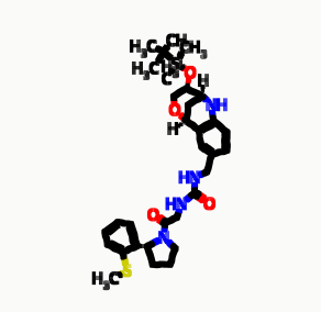 CSc1ccccc1[C@H]1CCCN1C(=O)CNC(=O)NCc1ccc2c(c1)[C@@H]1C[C@H](N2)[C@H](O[Si](C)(C)C(C)(C)C)CO1